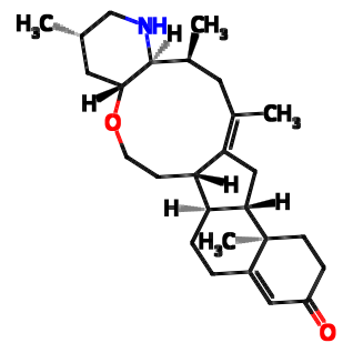 C/C1=C2\C[C@H]3[C@@H](CCC4=CC(=O)CC[C@@]43C)[C@@H]2CCO[C@@H]2C[C@H](C)CN[C@H]2[C@@H](C)C1